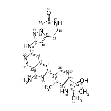 Cc1c(-c2cc3cc(Nc4cc5n(n4)CC(=O)NCC5)ncc3c(N)n2)cnc2c1NC(C)(C)[C@@H]2O